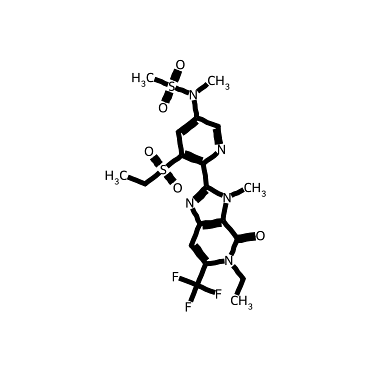 CCn1c(C(F)(F)F)cc2nc(-c3ncc(N(C)S(C)(=O)=O)cc3S(=O)(=O)CC)n(C)c2c1=O